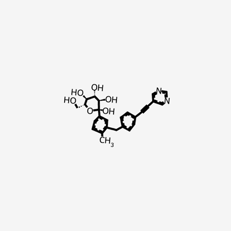 Cc1ccc([C@]2(O)O[C@H](CO)[C@@H](O)[C@H](O)[C@H]2O)cc1Cc1ccc(C#Cc2cncnc2)cc1